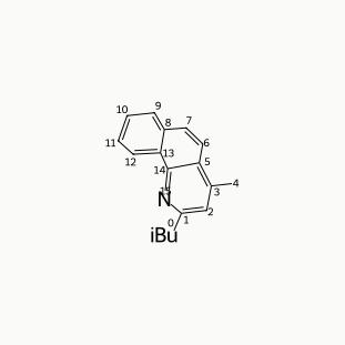 CCC(C)c1cc(C)c2ccc3ccccc3c2n1